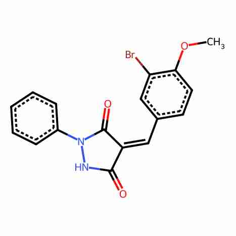 COc1ccc(/C=C2/C(=O)NN(c3ccccc3)C2=O)cc1Br